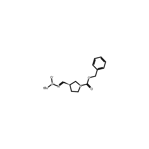 CC(C)(C)[S+]([O-])/N=C/[C@@H]1CCN(C(=O)OCc2ccccc2)C1